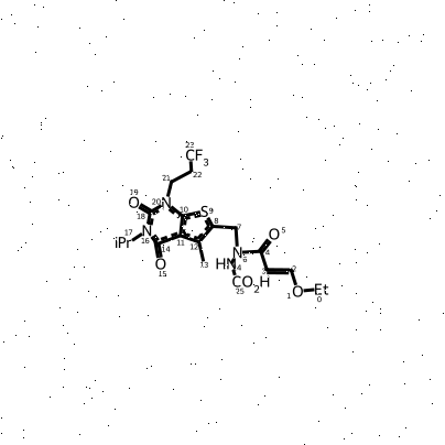 CCOC=CC(=O)N(Cc1sc2c(c1C)c(=O)n(C(C)C)c(=O)n2CCC(F)(F)F)NC(=O)O